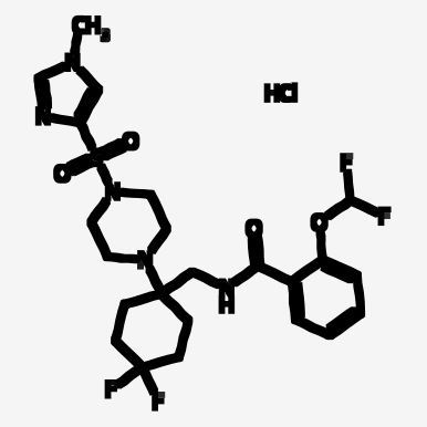 Cl.Cn1cnc(S(=O)(=O)N2CCN(C3(CNC(=O)c4ccccc4OC(F)F)CCC(F)(F)CC3)CC2)c1